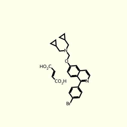 Brc1ccc(-c2nccc3cc(OCN(CC4CC4)CC4CC4)ccc23)cc1.O=C(O)/C=C/C(=O)O